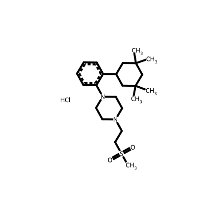 CC1(C)CC(c2ccccc2N2CCN(CCS(C)(=O)=O)CC2)CC(C)(C)C1.Cl